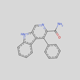 NC(=O)c1ncc2[nH]c3ccccc3c2c1-c1ccccc1